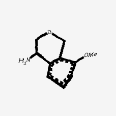 COc1cccc2c1COCC2N